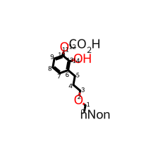 CCCCCCCCCCOCCCc1cccc(OC(=O)O)c1O